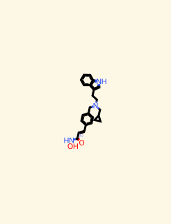 O=C(/C=C/c1ccc(CN(CCc2c[nH]c3ccccc23)CC2CC2)cc1)NO